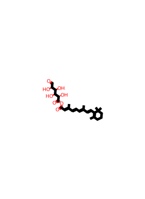 CC1=C(/C=C/C(C)=C/C=C/C(C)=C/C(=O)OC(=O)[C@@H](O)[C@@H](O)[C@H](O)[C@@H](O)C=O)C(C)(C)CCC1